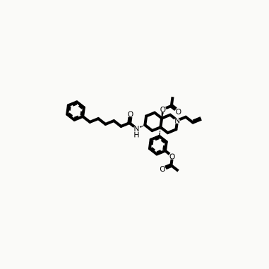 C=CCN1CC[C@@]2(c3cccc(OC(C)=O)c3)C[C@H](NC(=O)CCCCCc3ccccc3)CC[C@]2(OC(C)=O)C1